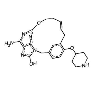 Nc1nc2nc3c1nc(O)n3Cc1ccc(OC3CCNCC3)c(c1)C/C=C/CCO2